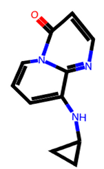 O=c1ccnc2c(NC3CC3)cccn12